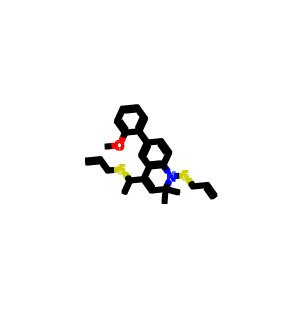 C=CCSC(C)C1=CC(C)(C)N(SCC=C)c2ccc(-c3ccccc3OC)cc21